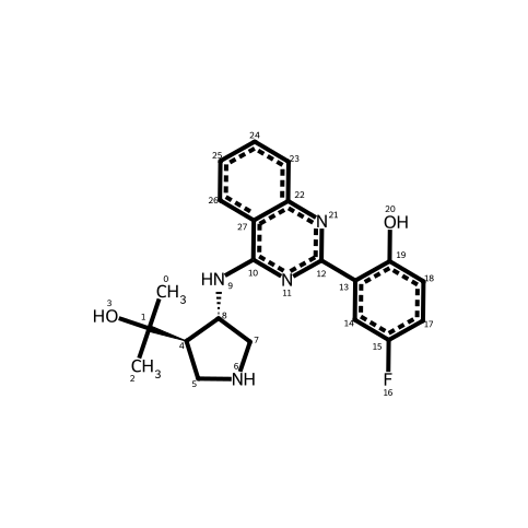 CC(C)(O)[C@@H]1CNC[C@H]1Nc1nc(-c2cc(F)ccc2O)nc2ccccc12